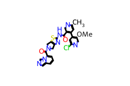 COc1cnc(Cl)cc1-c1cc(C)ncc1C(=O)Nc1nc2c(s1)CN(C(=O)c1cccc3cncn13)C2